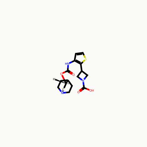 O=C(Nc1ccsc1C1CN(C(=O)O)C1)O[C@H]1CN2CCC1CC2